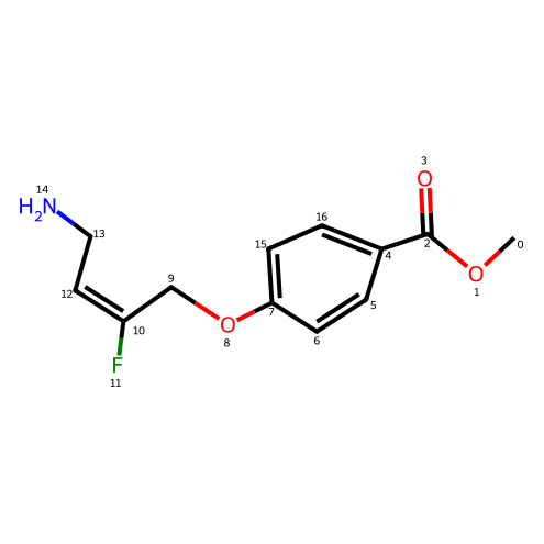 COC(=O)c1ccc(OC/C(F)=C\CN)cc1